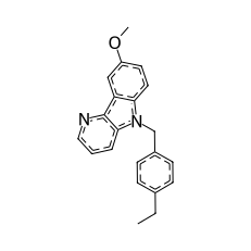 CCc1ccc(Cn2c3ccc(OC)cc3c3ncccc32)cc1